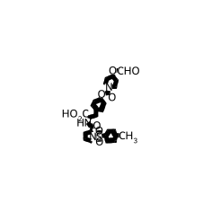 Cc1ccc(S(=O)(=O)N2CCC[C@H]2C(=O)N[C@@H](Cc2ccc(OC(=O)N3CCC(OC=O)CC3)cc2)C(=O)O)cc1